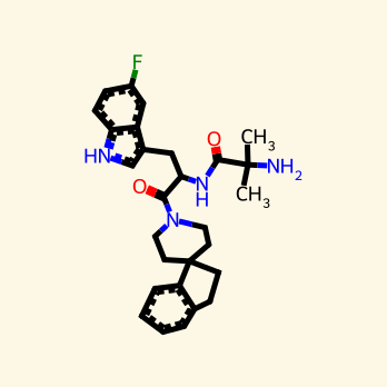 CC(C)(N)C(=O)NC(Cc1c[nH]c2ccc(F)cc12)C(=O)N1CCC2(CCc3ccccc32)CC1